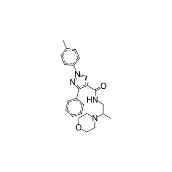 Cc1ccc(-n2cc(C(=O)NCC(C)N3CCOCC3)c(-c3ccccc3)n2)cc1